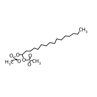 CCCCCCCCCCCCCCCC(OS(C)(=O)=O)OS(C)(=O)=O